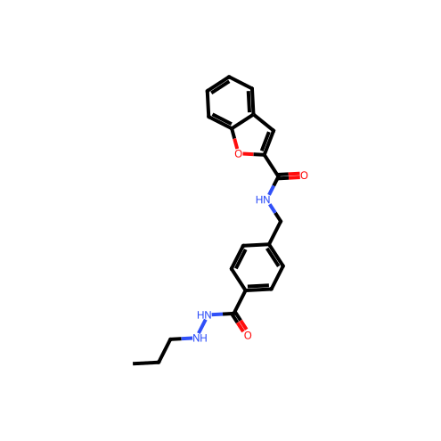 CCCNNC(=O)c1ccc(CNC(=O)c2cc3ccccc3o2)cc1